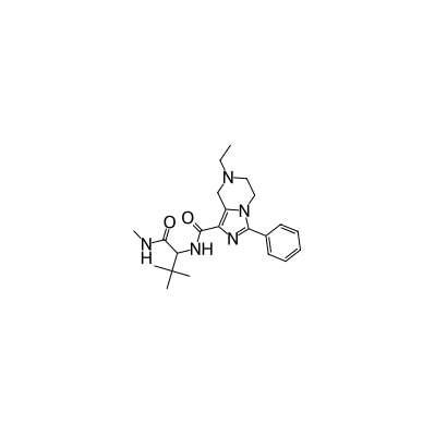 CCN1CCn2c(-c3ccccc3)nc(C(=O)NC(C(=O)NC)C(C)(C)C)c2C1